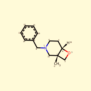 C[C@]12CO[C@H]1CCN(Cc1ccccc1)C2